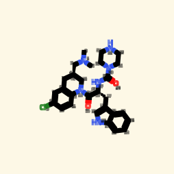 CN(C)C[C@@H]1Cc2cc(Cl)ccc2N(C(=O)[C@@H](Cc2c[nH]c3ccccc23)NC(=O)N2CCNCC2)C1